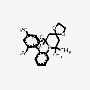 CC(C)c1cc(C(C)C)c(-c2ccccc2P2C(C)(C)CC3(CC2(C)C)OCCO3)c(C(C)C)c1